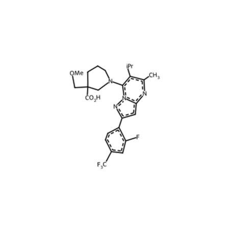 COCC1(C(=O)O)CCCN(c2c(C(C)C)c(C)nc3cc(-c4ccc(C(F)(F)F)cc4F)nn23)C1